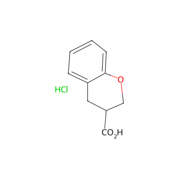 Cl.O=C(O)C1COc2ccccc2C1